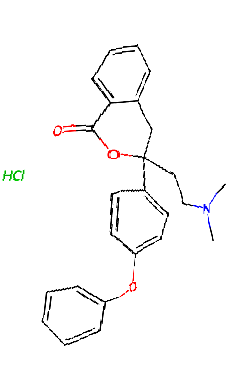 CN(C)CCC1(c2ccc(Oc3ccccc3)cc2)Cc2ccccc2C(=O)O1.Cl